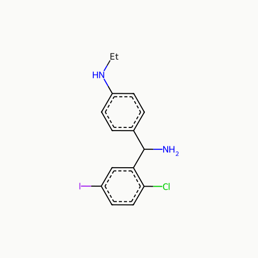 CCNc1ccc(C(N)c2cc(I)ccc2Cl)cc1